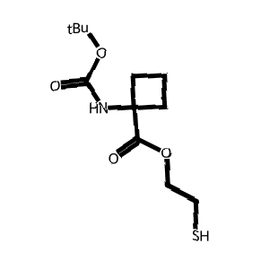 CC(C)(C)OC(=O)NC1(C(=O)OCCS)CCC1